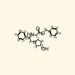 O=C(CNC(CN1CC[C@H](O)C1)c1ccccc1)OCc1ccccc1